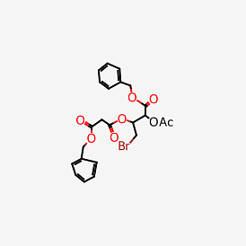 CC(=O)OC(C(=O)OCc1ccccc1)C(CBr)OC(=O)CC(=O)OCc1ccccc1